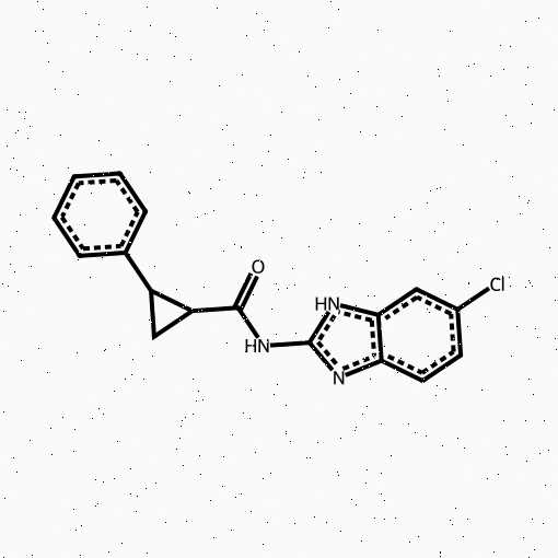 O=C(Nc1nc2ccc(Cl)cc2[nH]1)C1CC1c1ccccc1